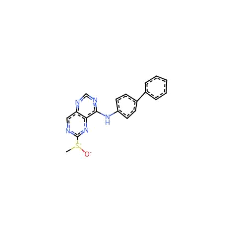 C[S+]([O-])c1ncc2ncnc(Nc3ccc(-c4ccccc4)cc3)c2n1